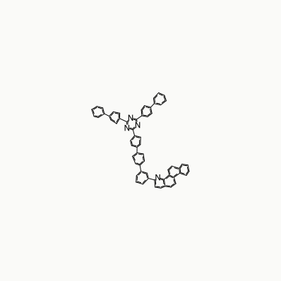 c1ccc(-c2ccc(-c3nc(-c4ccc(-c5ccccc5)cc4)nc(-c4ccc(-c5ccc(-c6cccc(-c7ccc8ccc9c%10ccccc%10ccc9c8n7)c6)cc5)cc4)n3)cc2)cc1